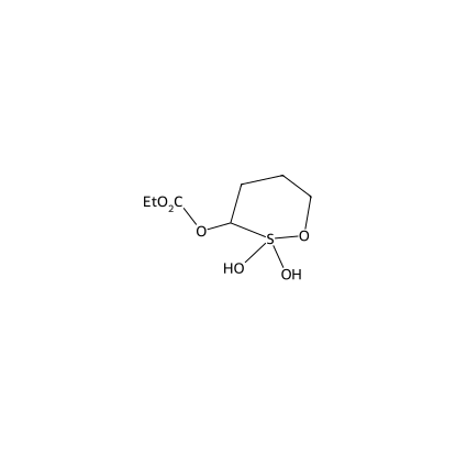 CCOC(=O)OC1CCCOS1(O)O